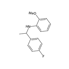 COc1ccccc1NC(C)c1ccc(F)cc1